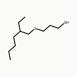 CCCCC(CC)CSCCCS